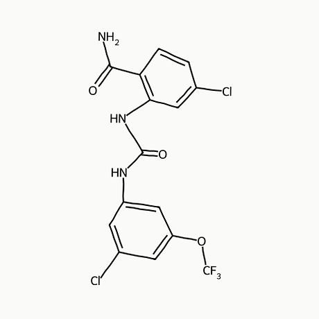 NC(=O)c1ccc(Cl)cc1NC(=O)Nc1cc(Cl)cc(OC(F)(F)F)c1